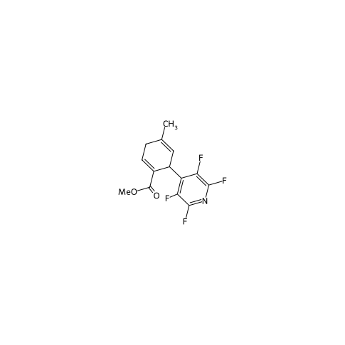 COC(=O)C1=CCC(C)=CC1c1c(F)c(F)nc(F)c1F